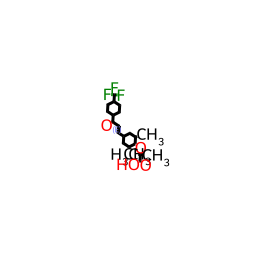 CC1CC(/C=C/C(=O)C2CCC(C(F)(F)F)CC2)CC(C)C1OC(C)(C)C(=O)O